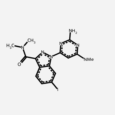 CNc1cc(-n2nc(C(=O)N(C)C)c3ccc(I)cc32)nc(N)n1